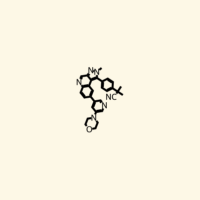 Cn1nc2cnc3ccc(-c4cncc(N5CCOCC5)c4)cc3c2c1-c1ccc(C(C)(C)C#N)cc1